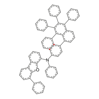 c1ccc(-c2c(-c3ccccc3)c(-c3ccccc3)c3c(-c4ccc(N(c5ccccc5)c5cccc6c5oc5c(-c7ccccc7)cccc56)cc4)cccc3c2-c2ccccc2)cc1